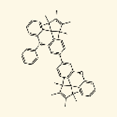 CC1=C(C)C(C)(C)C2(c3ccccc3Oc3cc(-c4ccc5c(c4)N(c4ccccc4)c4ccccc4C54C(C)(C)C(C)=C(C)C4(C)C)ccc32)C1(C)C